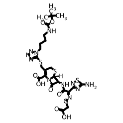 CC(C)(C)OC(=O)NCCCCn1nnnc1SCC1=C(C(=O)O)N2C(=O)C(NC(=O)/C(=N\OCC(=O)O)c3nsc(N)n3)[C@H]2SC1